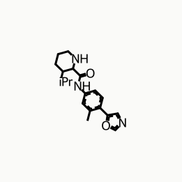 Cc1cc(NC(=O)C2NCCCC2C(C)C)ccc1-c1cnco1